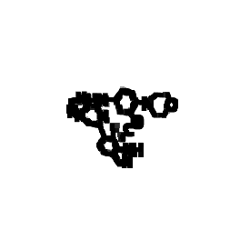 FC(F)(F)Oc1cc(Nc2nc(-c3ccc4cn[nH]c4c3)cn3ncnc23)ccc1N1CCOCC1